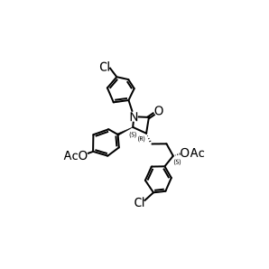 CC(=O)Oc1ccc([C@@H]2[C@@H](CC[C@H](OC(C)=O)c3ccc(Cl)cc3)C(=O)N2c2ccc(Cl)cc2)cc1